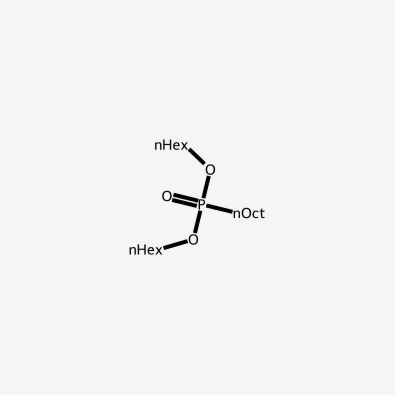 CCCCCCCCP(=O)(OCCCCCC)OCCCCCC